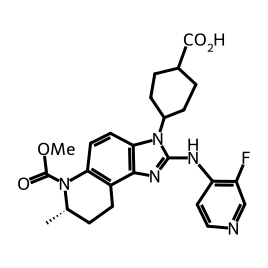 COC(=O)N1c2ccc3c(nc(Nc4ccncc4F)n3C3CCC(C(=O)O)CC3)c2CC[C@@H]1C